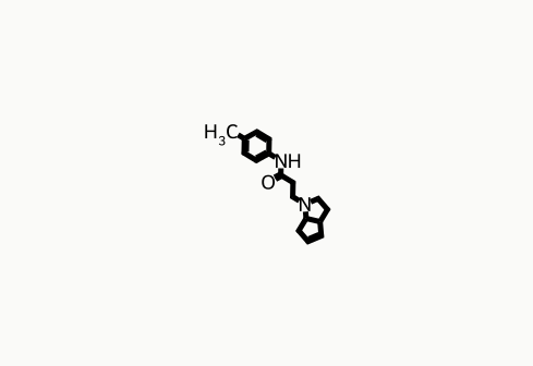 Cc1ccc(NC(=O)CCN2CCC3C=CCC32)cc1